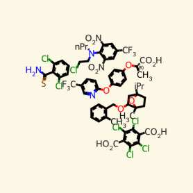 CCCN(CCCl)c1c([N+](=O)[O-])cc(C(F)(F)F)cc1[N+](=O)[O-].C[C@@H](Oc1ccc(Oc2ccc(C(F)(F)F)cn2)cc1)C(=O)O.Cc1ccccc1COC1CC2(C(C)C)CCC1(C)O2.NC(=S)c1c(Cl)cccc1Cl.O=C(O)c1c(Cl)c(Cl)c(C(=O)O)c(Cl)c1Cl